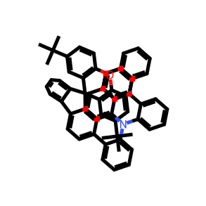 CC(C)(C)c1ccc2c(c1)C1(c3cc(C(C)(C)C)ccc3O2)c2ccccc2-c2ccc(-c3ccccc3N(c3ccccc3-c3cccc4ccccc34)c3cccc4ccccc34)cc21